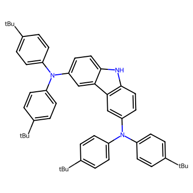 CC(C)(C)c1ccc(N(c2ccc(C(C)(C)C)cc2)c2ccc3[nH]c4ccc(N(c5ccc(C(C)(C)C)cc5)c5ccc(C(C)(C)C)cc5)cc4c3c2)cc1